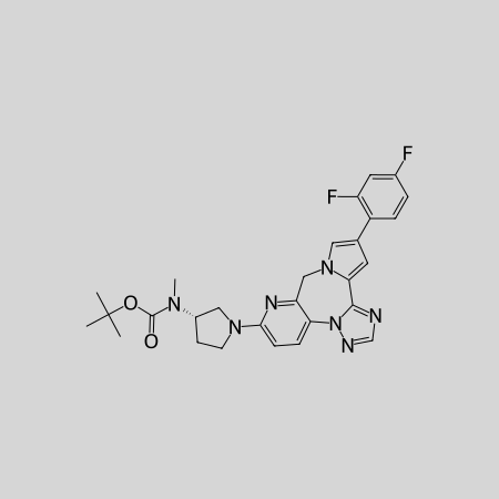 CN(C(=O)OC(C)(C)C)[C@H]1CCN(c2ccc3c(n2)Cn2cc(-c4ccc(F)cc4F)cc2-c2ncnn2-3)C1